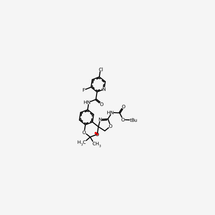 CC(C)(C)OC(=O)NC1=NC2(CO1)c1cc(NC(=O)c3ncc(Cl)cc3F)ccc1OC(C)(C)C21COC1